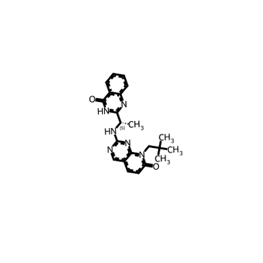 C[C@H](Nc1ncc2ccc(=O)n(CC(C)(C)C)c2n1)c1nc2ccccc2c(=O)[nH]1